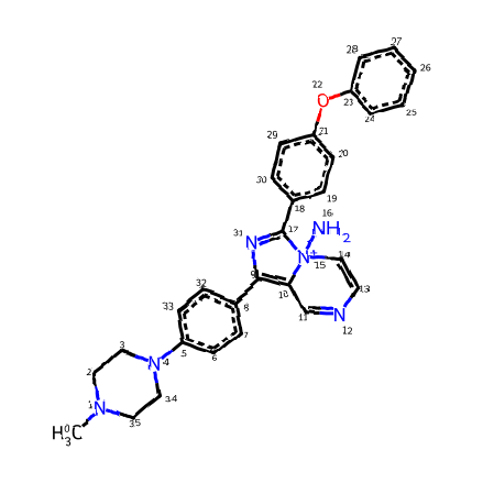 CN1CCN(c2ccc(C3=C4C=NC=C[N+]4(N)C(c4ccc(Oc5ccccc5)cc4)=N3)cc2)CC1